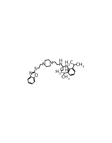 CC(C)c1cccc(C(C)C)c1NC(=O)NCCN1CCN(CCSc2nc3ccccc3o2)CC1